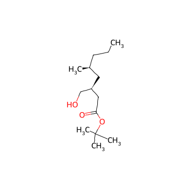 CCC[C@H](C)C[C@H](CO)CC(=O)OC(C)(C)C